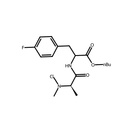 CCCCOC(=O)C(Cc1ccc(F)cc1)NC(=O)[C@@H](C)N(C)Cl